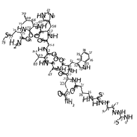 CNC(=S)N/N=C(C)/C(C)=N/NC(=S)NCCCC(=O)NC(CCC(N)=O)C(=O)NC(Cc1c[nH]c2ccccc12)C(=O)NC(C)C(=O)NC(C(=O)NCC(=O)NC(Cc1c[nH]cn1)C(=O)NC(CC(C)C)C(=O)NC(CCSC)C(N)=O)C(C)C